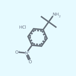 CC(C)(N)c1ccc([N+](=O)[O-])cc1.Cl